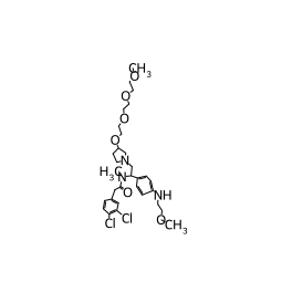 COCCNc1ccc(C(CN2CCC(OCCOCCOCCOC)C2)N(C)C(=O)Cc2ccc(Cl)c(Cl)c2)cc1